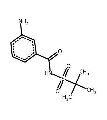 CC(C)(C)S(=O)(=O)NC(=O)c1cccc(N)c1